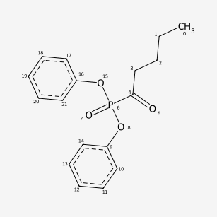 CCCCC(=O)P(=O)(Oc1ccccc1)Oc1ccccc1